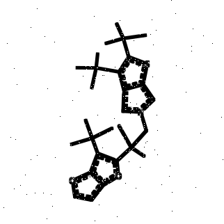 CC(C)(C)c1sc2cn(CC(C)(C)c3oc4ccoc4c3C(C)(C)C)cc2c1C(C)(C)C